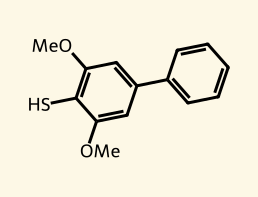 COc1cc(-c2ccccc2)cc(OC)c1S